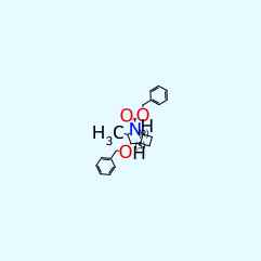 CC1C(OCc2ccccc2)[C@H]2CC[C@H]2N1C(=O)OCc1ccccc1